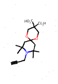 C#CCN1C(C)(C)CC2(CC1(C)C)OCC(C(=O)O)(C(=O)O)CO2